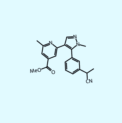 COC(=O)c1cc(C)nc(-c2cnn(C)c2-c2cccc(C(C)C#N)c2)c1